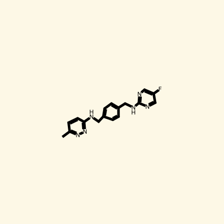 Cc1ccc(NCc2ccc(CNc3ncc(F)cn3)cc2)nn1